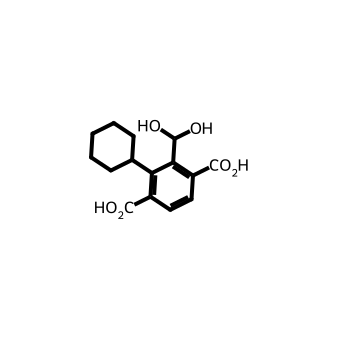 O=C(O)c1ccc(C(=O)O)c(C2CCCCC2)c1C(O)O